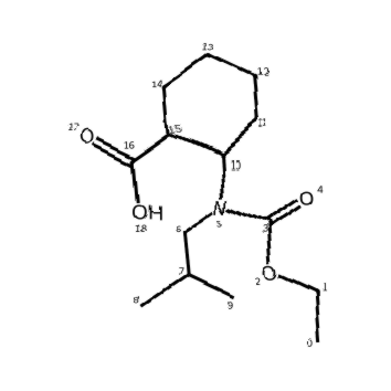 CCOC(=O)N(CC(C)C)C1CCCCC1C(=O)O